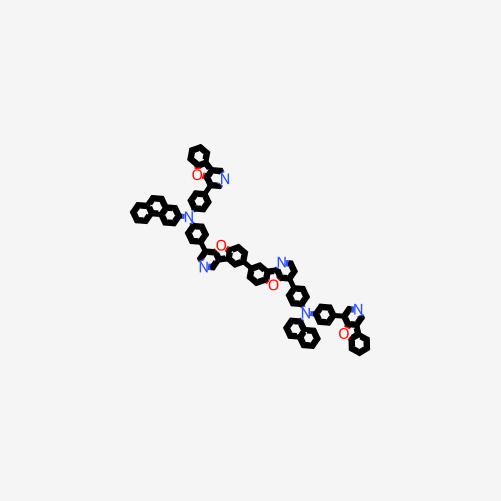 c1ccc2c(N(c3ccc(-c4cncc5c4oc4ccccc45)cc3)c3ccc(-c4ccnc5c4oc4ccc(-c6ccc7oc8c(-c9ccc(N(c%10ccc(-c%11cncc%12c%11oc%11ccccc%11%12)cc%10)c%10ccc%11c(ccc%12ccccc%12%11)c%10)cc9)cncc8c7c6)cc45)cc3)cccc2c1